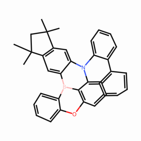 CC1(C)CC(C)(C)c2cc3c(cc21)B1c2ccccc2Oc2cccc(c21)N3c1ccccc1-c1ccccc1